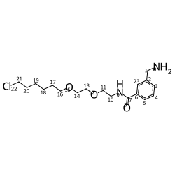 NCc1cccc(C(=O)NCCOCCOCCCCCCCl)c1